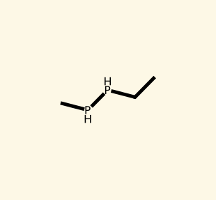 CCPPC